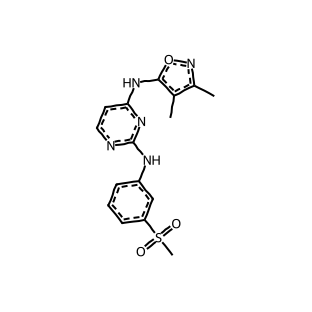 Cc1noc(Nc2ccnc(Nc3cccc(S(C)(=O)=O)c3)n2)c1C